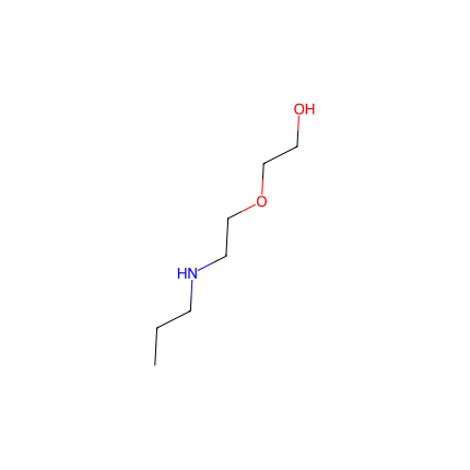 CCCNCCOCCO